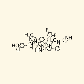 CCN(Cc1cccc(-c2ccnc(N(CCc3cc(F)cc(F)c3)C(c3cccc(-c4cc(C)nc(NCCc5ccc(O)c(Cl)c5)n4)c3)N3CCNC[C@@H]3C)n2)c1)C[C@H]1CCCNC1